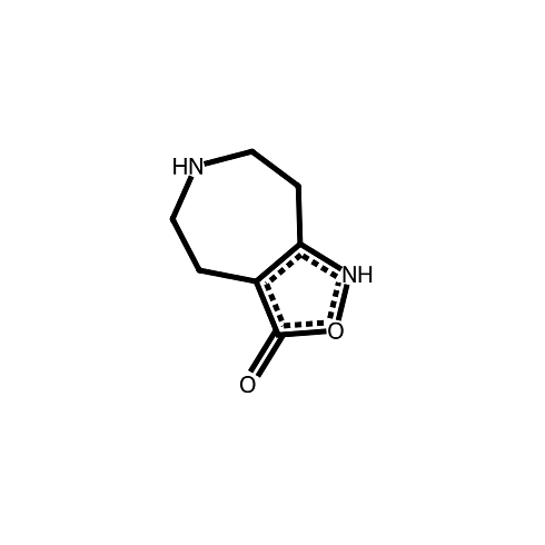 O=c1o[nH]c2c1CCNCC2